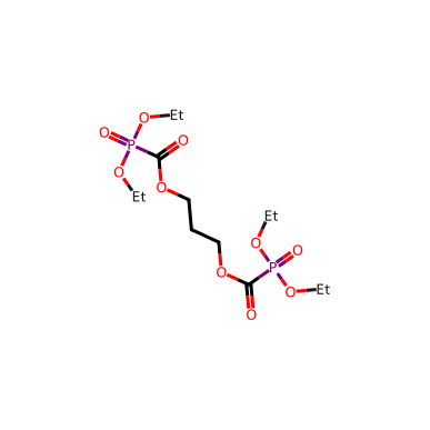 CCOP(=O)(OCC)C(=O)OCCCOC(=O)P(=O)(OCC)OCC